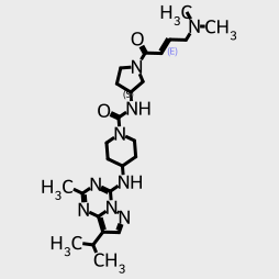 Cc1nc(NC2CCN(C(=O)N[C@H]3CCN(C(=O)/C=C/CN(C)C)C3)CC2)n2ncc(C(C)C)c2n1